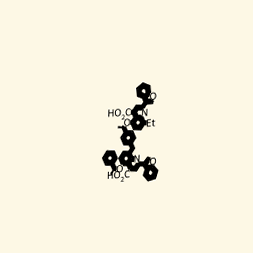 CCc1ccc(O[C@H](C)c2ccc(Cc3ccc(O[C@@H](C)c4ccccc4)c4c(C(=O)O)cc(-c5coc6ccccc56)nc34)cc2)c2c(C(=O)O)cc(-c3coc4ccccc34)nc12